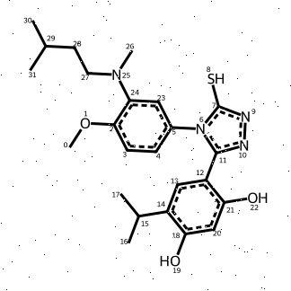 COc1ccc(-n2c(S)nnc2-c2cc(C(C)C)c(O)cc2O)cc1N(C)CCC(C)C